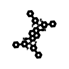 N#Cc1c(N(c2ccc(-c3ccccc3)cc2F)c2ccc(-c3ccccc3)cc2F)cc2ccc3c(C#N)c(N(c4ccc(-c5ccccc5)cc4F)c4ccc(-c5ccccc5)cc4F)cc4ccc1c2c43